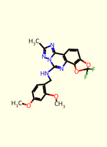 COc1ccc(CNc2nc3c4c(ccc3c3nc(C)nn23)OC(F)(F)O4)c(OC)c1